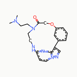 CN(C)CCN1CCNc2ccn3ncc(c3n2)-c2cccc(c2)OCC1=O